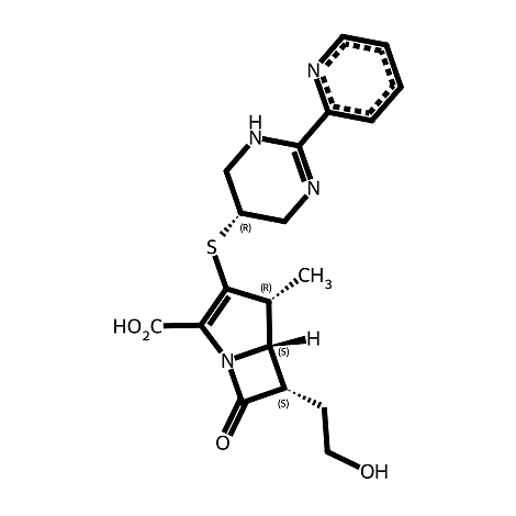 C[C@H]1C(S[C@H]2CN=C(c3ccccn3)NC2)=C(C(=O)O)N2C(=O)[C@@H](CCO)[C@@H]12